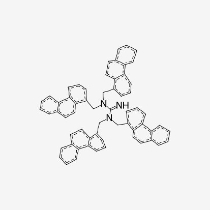 N=C(N(Cc1cccc2c1ccc1ccccc12)Cc1cccc2c1ccc1ccccc12)N(Cc1cccc2c1ccc1ccccc12)Cc1cccc2c1ccc1ccccc12